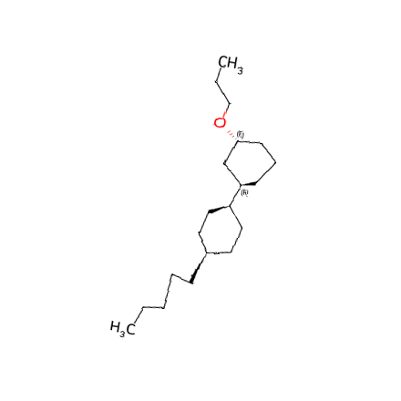 CCCCC[C@H]1CC[C@@H]([C@@H]2CCC[C@@H](OCCC)C2)CC1